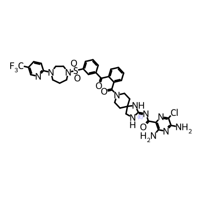 Nc1nc(N)c(C(=O)/N=C2\NCC3(CCN(C(=O)c4ccccc4C(=O)c4cccc(S(=O)(=O)N5CCCN(c6ccc(C(F)(F)F)cn6)CC5)c4)CC3)N2)nc1Cl